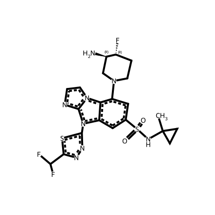 CC1(NS(=O)(=O)c2cc(N3CC[C@@H](F)[C@H](N)C3)c3c(c2)n(-c2nnc(C(F)F)s2)c2nccn32)CC1